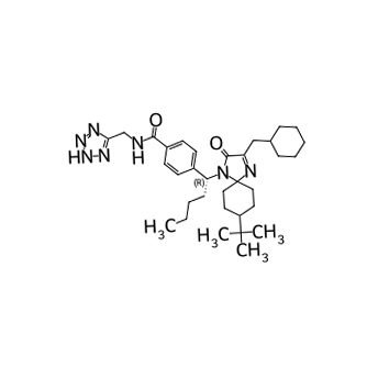 CCCC[C@H](c1ccc(C(=O)NCc2nn[nH]n2)cc1)N1C(=O)C(CC2CCCCC2)=NC12CCC(C(C)(C)C)CC2